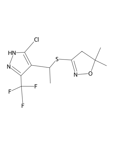 CC(SC1=NOC(C)(C)C1)c1c(C(F)(F)F)n[nH]c1Cl